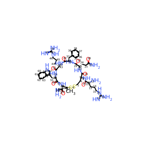 CC1(C)SSCC[C@H](NC(=O)[C@@H](N)CCCNC(=N)N)C(=O)N[C@@H](CCC(N)=O)C(=O)N[C@H](Cc2ccccc2)C(=O)N[C@@H](CCCNC(=N)N)C(=O)N[C@@H](Cc2c[nH]c3ccccc23)C(=O)N[C@@H]1C(N)=O